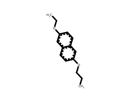 CCCOc1ccc2cc(OCC)ccc2c1